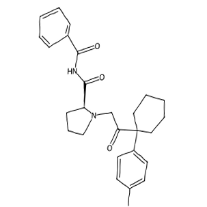 Cc1ccc(C2(C(=O)CN3CCC[C@H]3C(=O)NC(=O)c3ccccc3)CCCCC2)cc1